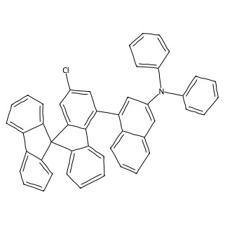 Clc1cc(-c2cc(N(c3ccccc3)c3ccccc3)cc3ccccc23)c2c(c1)C1(c3ccccc3-c3ccccc31)c1ccccc1-2